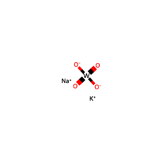 [K+].[Na+].[O]=[W](=[O])([O-])[O-]